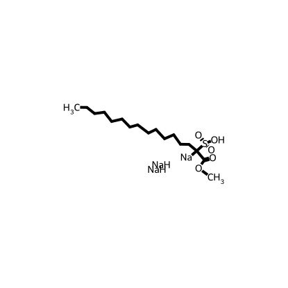 CCCCCCCCCCCCCC[C]([Na])(C(=O)OC)S(=O)(=O)O.[NaH].[NaH]